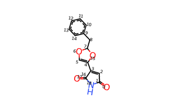 O=C1C=C(C2=COC(Cc3ccccc3)O2)C(=O)N1